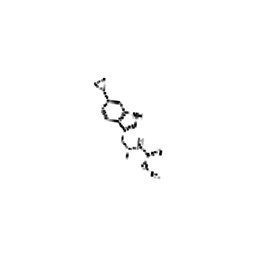 CC(Cc1c[nH]c2cc(C3CC3)ccc12)NC(=O)OC(C)(C)C